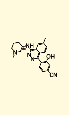 Cc1ccc2c(-c3ccc(C#N)cc3O)nnc(N[C@@H]3CCCN(C)C3)c2c1